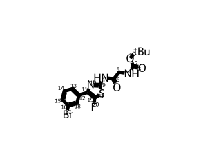 CC(C)(C)OC(=O)NCC(=O)Nc1nc(-c2cccc(Br)c2)c(F)s1